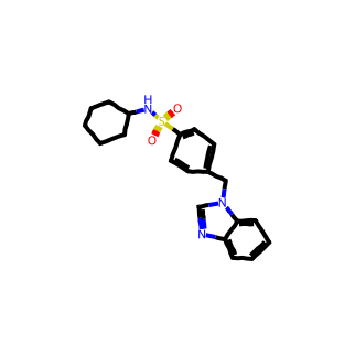 O=S(=O)(NC1CCCCC1)c1ccc(Cn2cnc3ccccc32)cc1